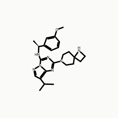 COc1cccc([C@H](C)Nc2nc(N3CCC4(CCN4)CC3)nc3c(C(C)C)cnn23)c1